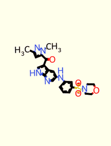 Cc1cc(C(=O)c2c[nH]c3ncc(Nc4cccc(S(=O)(=O)N5CCOCC5)c4)cc23)n(C)n1